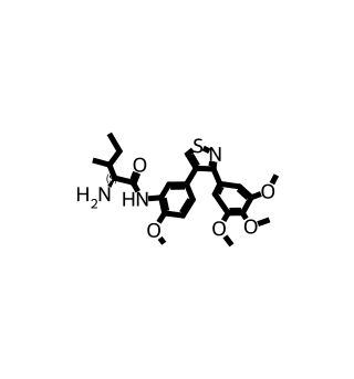 CCC(C)[C@H](N)C(=O)Nc1cc(-c2csnc2-c2cc(OC)c(OC)c(OC)c2)ccc1OC